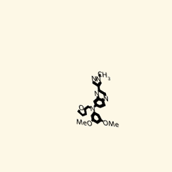 COc1cc(OC)cc(N(CC2CCCO2)c2ccc3ncc(-c4cnn(C)c4)nc3c2)c1